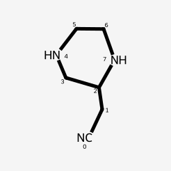 N#CCC1CNCCN1